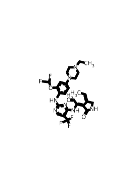 C=C/C(Nc1nc(Nc2ccc(N3CCN(CC)CC3)cc2OC(F)F)ncc1C(F)(F)F)=C1/C(=O)NC/C1=C/C